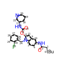 CC(C)(C)CC(=O)Nc1ccc2c(c1)cc(OC(=O)Nc1cccnc1)n2Cc1ccccc1F